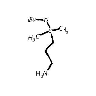 CCC(C)O[Si](C)(C)CCCN